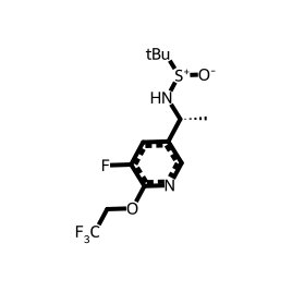 C[C@@H](N[S+]([O-])C(C)(C)C)c1cnc(OCC(F)(F)F)c(F)c1